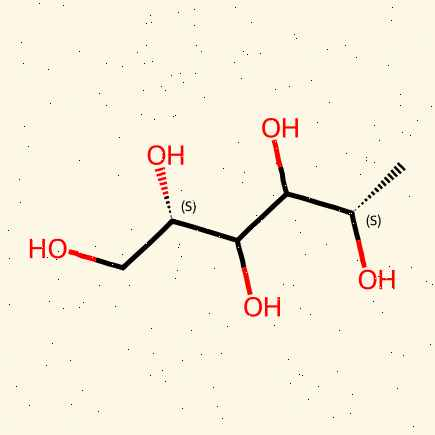 C[C@H](O)C(O)C(O)[C@@H](O)CO